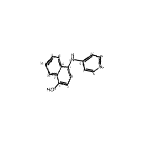 Oc1ccc(Nc2ccncc2)c2ccccc12